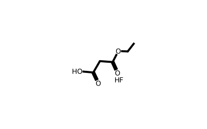 CCOC(=O)CC(=O)O.F